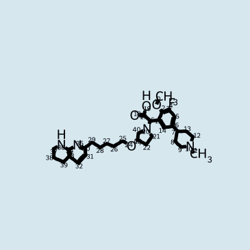 COc1c(F)cc(C2CCN(C)CC2)cc1C(C(=O)O)N1CC[C@@H](OCCCCCc2ccc3c(n2)NCCC3)C1